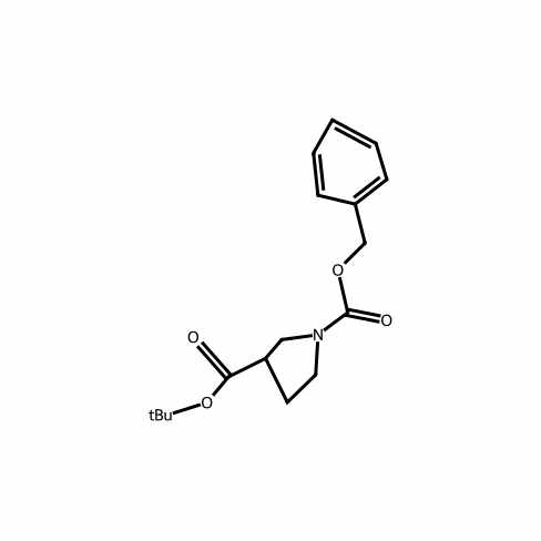 CC(C)(C)OC(=O)C1CCN(C(=O)OCc2ccccc2)C1